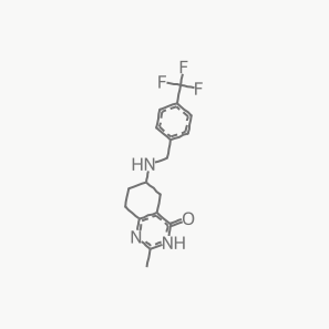 Cc1nc2c(c(=O)[nH]1)CC(NCc1ccc(C(F)(F)F)cc1)CC2